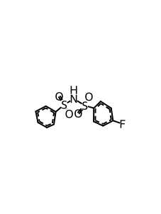 O=S(=O)(NS(=O)(=O)c1ccc(F)cc1)c1ccccc1